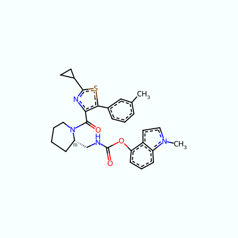 Cc1cccc(-c2sc(C3CC3)nc2C(=O)N2CCCC[C@H]2CNC(=O)Oc2cccc3c2ccn3C)c1